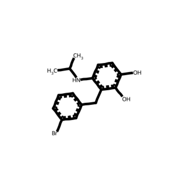 CC(C)Nc1ccc(O)c(O)c1Cc1cccc(Br)c1